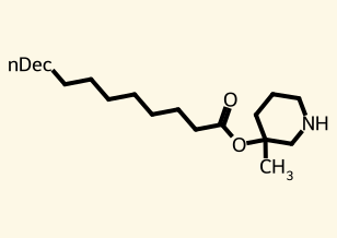 CCCCCCCCCCCCCCCCCC(=O)OC1(C)CCCNC1